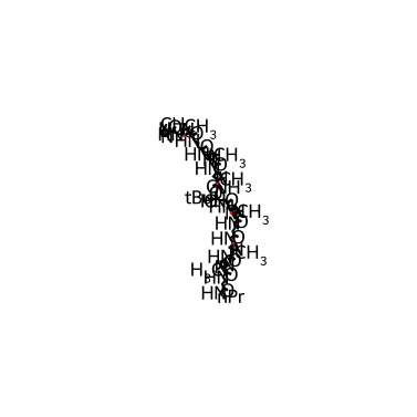 CCCNC(=O)CCNC(=O)c1nc(NC(=O)c2cc(NC(=O)CCNC(=O)c3nc(NC(=O)[C@@H](CCNC(=O)c4cc(NC(=O)c5nc(NC(=O)CCNC(=O)c6cc(NC(=O)c7nccn7C)cn6C)cn5C)cn4C)NC(=O)OC(C)(C)C)cn3C)cn2C)cn1C